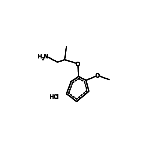 COc1ccccc1OC(C)CN.Cl